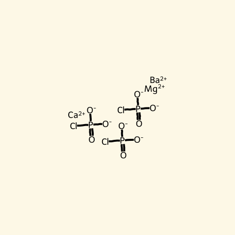 O=P([O-])([O-])Cl.O=P([O-])([O-])Cl.O=P([O-])([O-])Cl.[Ba+2].[Ca+2].[Mg+2]